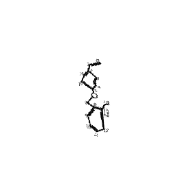 C=Cc1ccc(OCc2ccccc2C)cc1